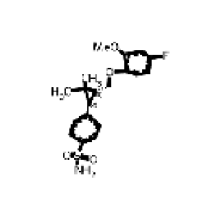 COc1cc(F)ccc1OC[C@@H]1[C@@H](c2ccc(S(N)(=O)=O)cc2)C1(C)C